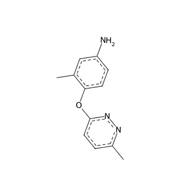 Cc1ccc(Oc2ccc(N)cc2C)nn1